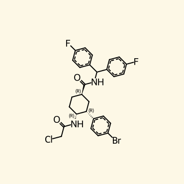 O=C(CCl)N[C@@H]1CC[C@@H](C(=O)NC(c2ccc(F)cc2)c2ccc(F)cc2)C[C@@H]1c1ccc(Br)cc1